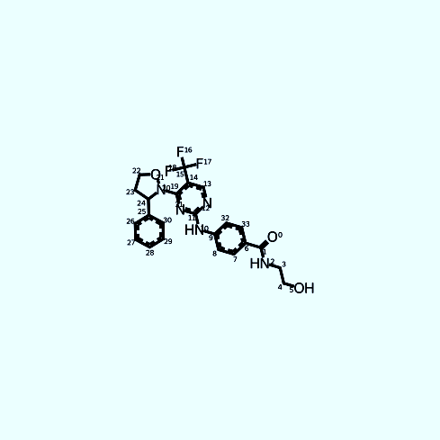 O=C(NCCO)c1ccc(Nc2ncc(C(F)(F)F)c(N3OCCC3c3ccccc3)n2)cc1